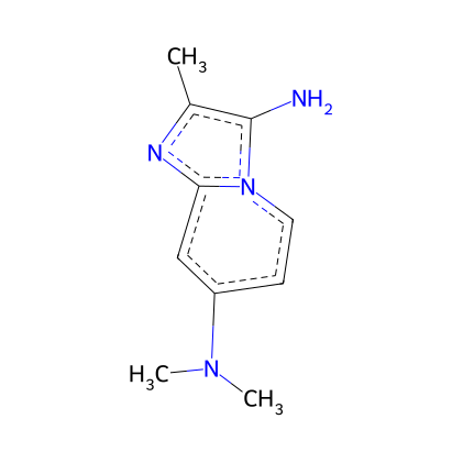 Cc1nc2cc(N(C)C)ccn2c1N